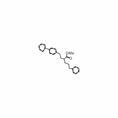 COC(=O)C(CCCc1ccccc1)CCc1ccc(-c2ccccc2)cc1